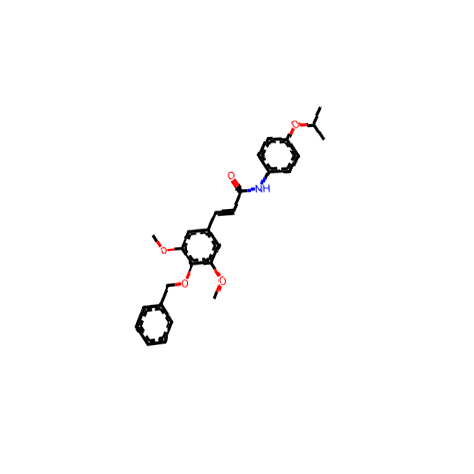 COc1cc(C=CC(=O)Nc2ccc(OC(C)C)cc2)cc(OC)c1OCc1ccccc1